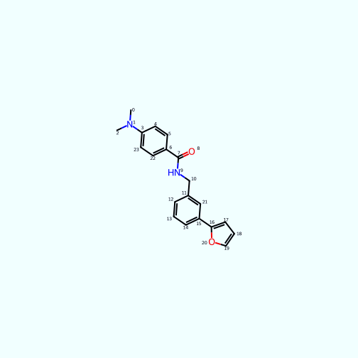 CN(C)c1ccc(C(=O)NCc2cccc(-c3ccco3)c2)cc1